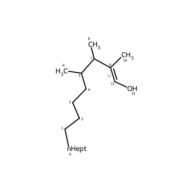 CCCCCCCCCCCC(C)C(C)/C(C)=C/O